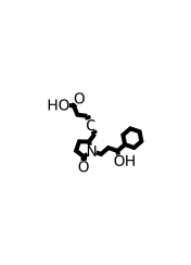 O=C(O)CC=C=CC1CCC(=O)N1CCC(O)C1CCCCC1